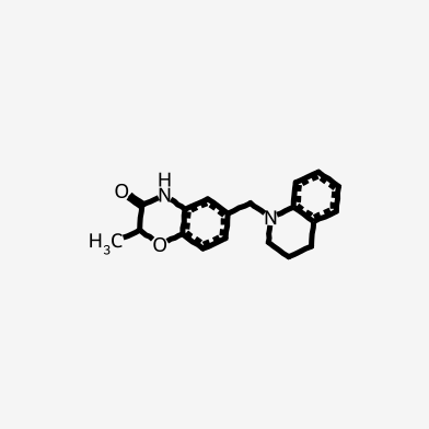 CC1Oc2ccc(CN3CCCc4ccccc43)cc2NC1=O